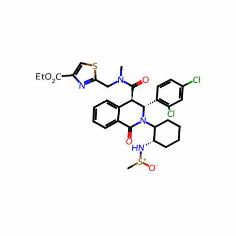 CCOC(=O)c1csc(CN(C)C(=O)[C@@H]2c3ccccc3C(=O)N(C3CCCC[C@@H]3N[S+](C)[O-])[C@H]2c2ccc(Cl)cc2Cl)n1